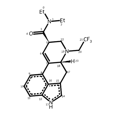 CCN(CC)C(=O)[C@@H]1C=C2c3cccc4[nH]cc(c34)C[C@H]2N(CC(F)(F)F)C1